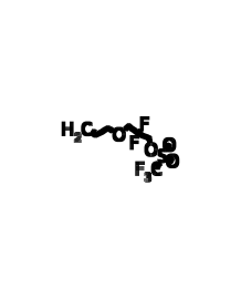 C=CCOCC(F)(F)COS(=O)(=O)C(F)(F)F